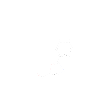 Cc1ccc(-c2ncc(C=O)o2)cc1